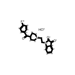 Cl.O=C1C(=O)N(CCN2CCC(C(=O)c3ccc(F)cc3)CC2)c2ccccc21